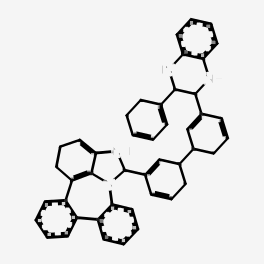 C1=CCCC(C2Nc3ccccc3NC2C2=CC(C3C=C(C4NC5=CCCC6=C5N4c4ccccc4-c4ccccc46)C=CC3)CC=C2)=C1